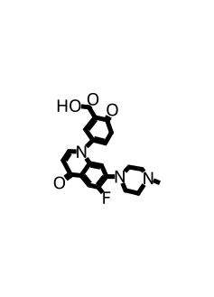 CN1CCN(c2cc3c(cc2F)c(=O)ccn3C2=CCC(=O)C(C(=O)O)=C2)CC1